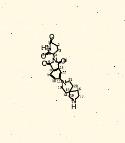 O=C1CCC(N2C(=O)c3ccc(N4CCC5(CCNC5)CC4)cc3C2=O)C(=O)N1